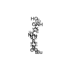 CC(C)(CO)NC(=O)c1cc(-c2cnn3cc(N4CCN(C(=O)OC(C)(C)C)CC4)cnc23)cs1